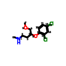 CNCCC(COC)Oc1ccc(Cl)cc1Cl